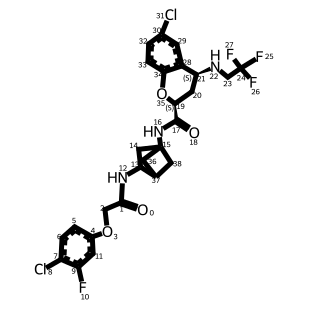 O=C(COc1ccc(Cl)c(F)c1)NC1CC2(NC(=O)[C@@H]3C[C@H](NCC(F)(F)F)c4cc(Cl)ccc4O3)CC1C2